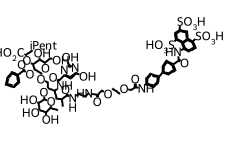 CCCC(C)C[C@H](OC1C(O)C(CO)OC(OCC(OC2OC(C)C(O)C(O)C2O)C(CC(C)C(=O)NCCNC(=O)COCCOCC(=O)Nc2ccc(-c3ccc(C(=O)Nc4ccc(S(=O)(=O)O)c5cc(S(=O)(=O)O)cc(S(=O)(=O)O)c45)cc3)cc2)NC(=O)c2cc(O)nc(O)n2)C1OC(=O)c1ccccc1)C(=O)O